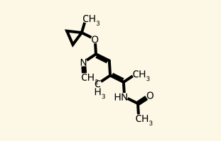 C=N/C(=C\C(C)=C(/C)NC(C)=O)OC1(C)CC1